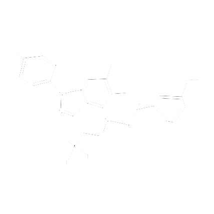 COc1cccc([C@@H](Oc2cc3cnn(-c4ccc(F)cc4)c3cc2C)[C@H](C)NOCC(F)(F)F)c1